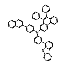 c1ccc(-c2c(-c3ccccc3)c3cc(N(c4ccc(-c5ccc6ccccc6c5)cc4)c4cccc(-c5cccc6c5sc5ccccc56)c4)ccc3c3ccccc23)cc1